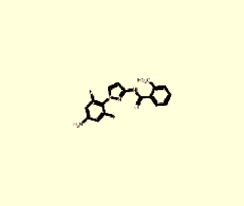 Nc1cc(F)c(-n2ccc(NC(=O)c3ccccc3C(=O)O)n2)c(F)c1